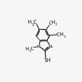 Cc1cc2c(nc(S)n2C)c(C)c1C